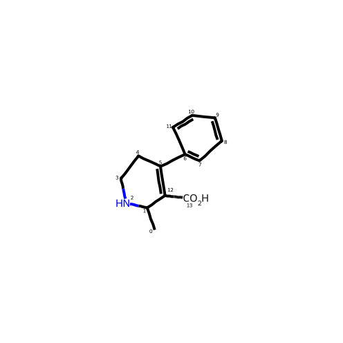 CC1NCCC(c2ccccc2)=C1C(=O)O